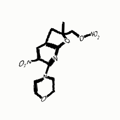 CC1(CO[N+](=O)[O-])Cc2cc([N+](=O)[O-])c(N3CCOCC3)nc2O1